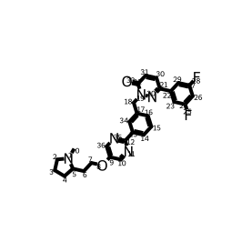 CN1CCCC1CCOc1cnc(-c2cccc(Cn3nc(-c4cc(F)cc(F)c4)ccc3=O)c2)nc1